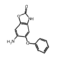 Nc1cc2oc(=O)[nH]c2cc1Oc1ccccc1